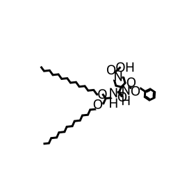 CCCCCCCCCCCCCCOCC(CNC(=O)C1(NC(=O)OCc2ccccc2)CCN(C(=O)O)CC1)OCCCCCCCCCCCCCC